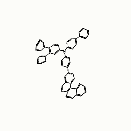 c1ccc(-c2ccc(N(c3ccc(-c4ccc5c(ccc6ccc7ccccc7c65)c4)cc3)c3ccc(-c4ccccc4)c(-c4ccccc4)c3)cc2)cc1